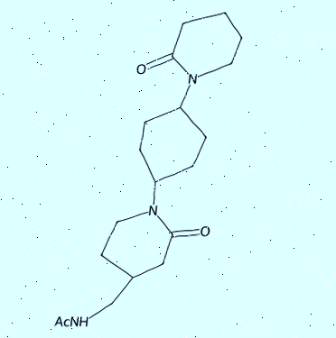 CC(=O)NCC1CCN(C2CCC(N3CCCCC3=O)CC2)C(=O)C1